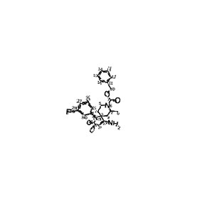 CC1C[C@@]2(CCN1C(=O)OCc1ccccc1)C(N)=CS(=O)(=O)N2c1cccc(F)c1